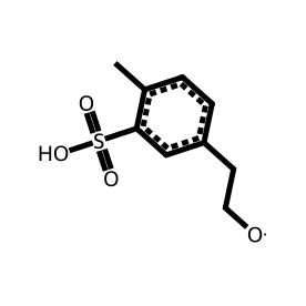 Cc1ccc(CC[O])cc1S(=O)(=O)O